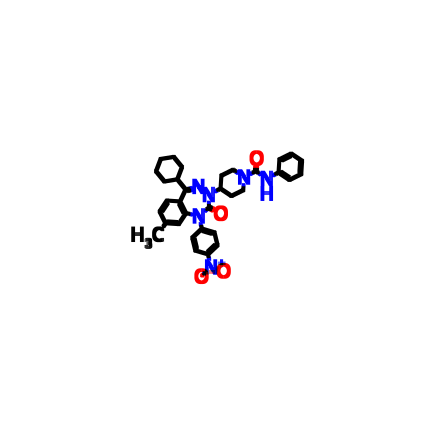 Cc1ccc2c(c1)N(c1ccc([N+](=O)[O-])cc1)C(=O)N(C1CCN(C(=O)Nc3ccccc3)CC1)N=C2C1CCCCC1